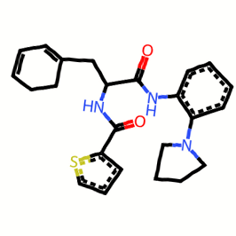 O=C(NC(CC1=CC=CCC1)C(=O)Nc1ccccc1N1CCCC1)c1cccs1